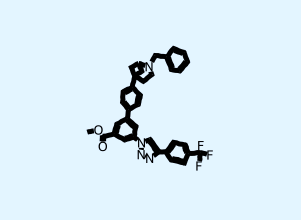 COC(=O)c1cc(-c2ccc(C34CCN(Cc5ccccc5)C(C3)C4)cc2)cc(-n2cc(-c3ccc(C(F)(F)F)cc3)nn2)c1